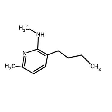 CCCCc1ccc(C)nc1NC